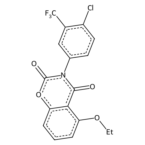 CCOc1cccc2oc(=O)n(-c3ccc(Cl)c(C(F)(F)F)c3)c(=O)c12